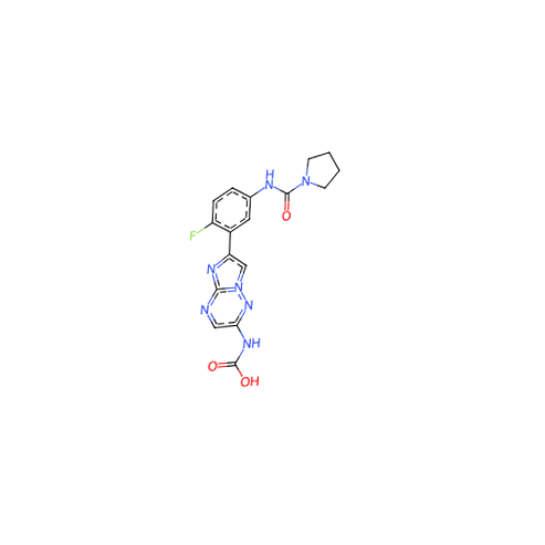 O=C(O)Nc1cnc2nc(-c3cc(NC(=O)N4CCCC4)ccc3F)cn2n1